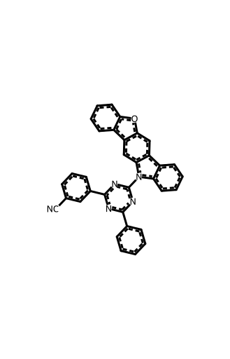 N#Cc1cccc(-c2nc(-c3ccccc3)nc(-n3c4ccccc4c4cc5oc6ccccc6c5cc43)n2)c1